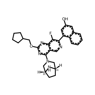 Oc1cc(-c2ncc3c(N4C[C@H]5CC[C@@H](C4)N5)nc(OCC4CCCC4)nc3c2F)c2ccccc2c1